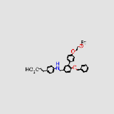 CCOCCOc1ccc(-c2cc(CNc3ccc(CCC(=O)O)cc3)ccc2OCc2ccccc2)cc1